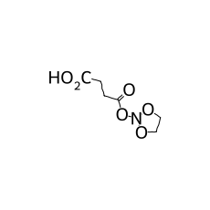 O=C(O)CCC(=O)ON1OCCO1